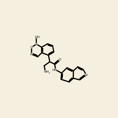 NCC(C(=O)Nc1ccc2cnccc2c1)c1cccc2c1C=NOB2O